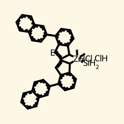 CCC1=Cc2c(-c3ccc4ccccc4c3)cccc2[CH]1[Zr]([CH3])([CH3])(=[SiH2])[CH]1C(C)=Cc2c(-c3ccc4ccccc4c3)cccc21.Cl.Cl